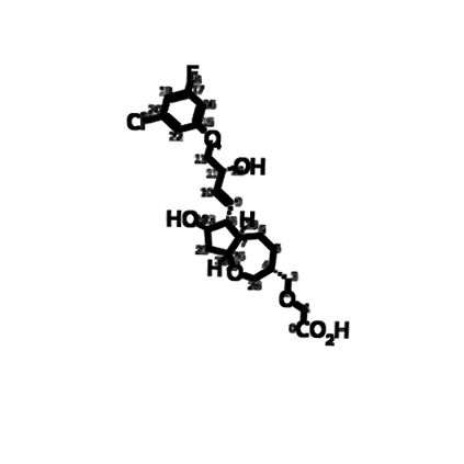 O=C(O)COC[C@H]1CC[C@@H]2[C@@H](C=C[C@@H](O)COc3cc(F)cc(Cl)c3)[C@H](O)C[C@@H]2OC1